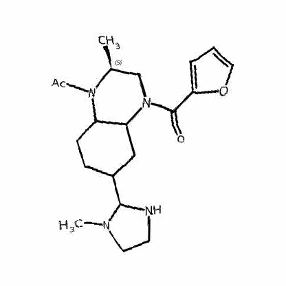 CC(=O)N1C2CCC(C3NCCN3C)CC2N(C(=O)c2ccco2)C[C@@H]1C